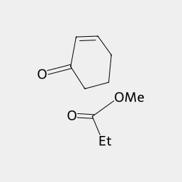 CCC(=O)OC.O=C1C=CCCC1